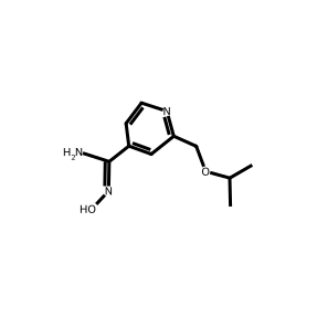 CC(C)OCc1cc(/C(N)=N/O)ccn1